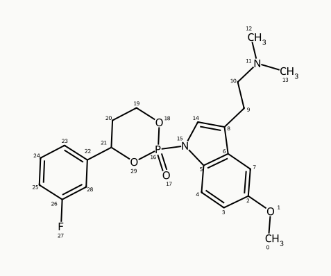 COc1ccc2c(c1)c(CCN(C)C)cn2P1(=O)OCCC(c2cccc(F)c2)O1